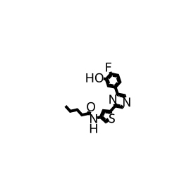 CCCCC(=O)Nc1csc(-c2cncc(-c3ccc(F)c(O)c3)n2)c1